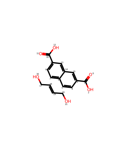 O=C(O)c1ccc2ccc(C(=O)O)cc2c1.OCC=CCO